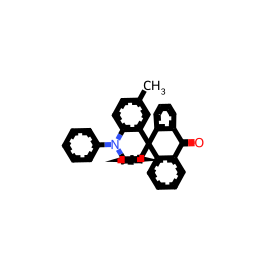 Cc1ccc2c(c1)C1(c3ccccc3C(=O)c3ccccc31)c1ccccc1N2c1ccccc1